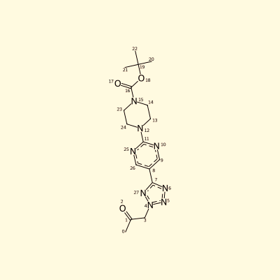 CC(=O)Cn1nnc(-c2cnc(N3CCN(C(=O)OC(C)(C)C)CC3)nc2)n1